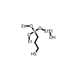 CCO.CCO[Si](CCCS)(OCC)OCC